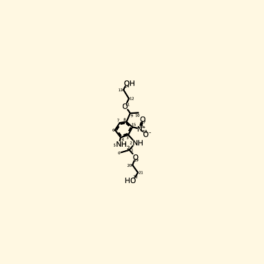 CC(Nc1c(N)ccc(C(C)OCCO)c1[N+](=O)[O-])OCCO